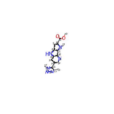 COC(=O)c1cc2[nH]c3cc(-c4c(C)nnn4C)cnc3c2n1C